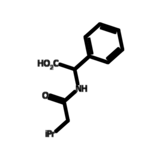 CC(C)CC(=O)NC(C(=O)O)c1ccccc1